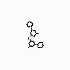 Cc1cc(Oc2cc(C)cc(-c3ccccc3)c2)cc(-c2ccccc2)c1